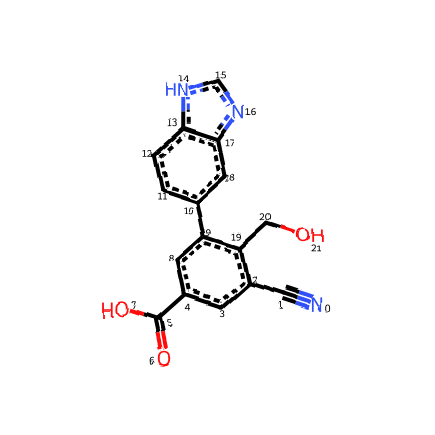 N#Cc1cc(C(=O)O)cc(-c2ccc3[nH]cnc3c2)c1CO